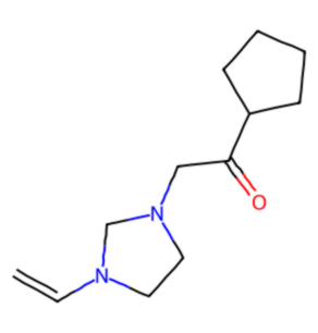 C=CN1CCN(CC(=O)C2CCCC2)C1